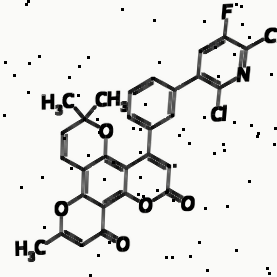 Cc1cc(=O)c2c(o1)c1c(c3c(-c4cccc(-c5cc(F)c(Cl)nc5Cl)c4)[c]c(=O)oc32)OC(C)(C)C=C1